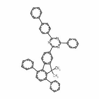 CC1(C)c2cc(-c3nc(-c4ccccc4)nc(-c4ccc(-c5ccccc5)cc4)n3)ccc2-c2c(-c3ccccc3)ccc(-c3ccccc3)c21